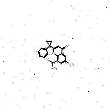 Cc1cc(C(C)Br)c2oc(C3(c4ccccc4)CC3)cc(=O)c2c1